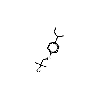 CCC(C)c1ccc(OCC(C)(C)[O])cc1